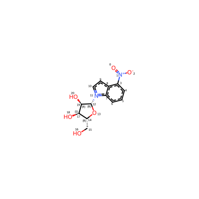 O=[N+]([O-])c1cccc2c1ccn2[C@@H]1O[C@H](CO)[C@@H](O)[C@H]1O